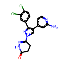 Nc1cc(-c2cn(C3=NNC(=O)CC3)nc2-c2ccc(Cl)c(Cl)c2)ccn1